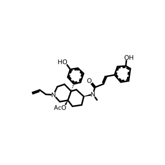 C=CCN1CC[C@@]2(c3cccc(O)c3)C[C@@H](N(C)C(=O)C=Cc3cccc(O)c3)CC[C@]2(OC(C)=O)C1